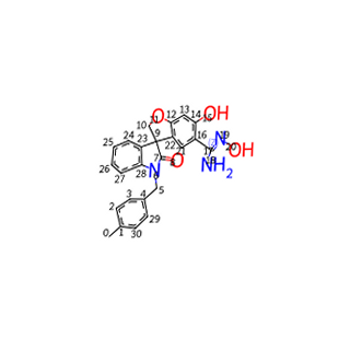 Cc1ccc(CN2C(=O)C3(COc4cc(O)c(/C(N)=N/O)cc43)c3ccccc32)cc1